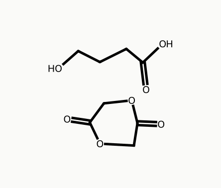 O=C(O)CCCO.O=C1COC(=O)CO1